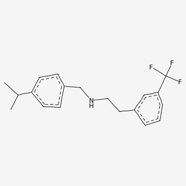 CC(C)c1ccc(CNCCc2cccc(C(F)(F)F)c2)cc1